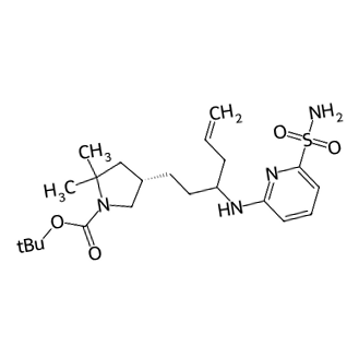 C=CCC(CC[C@@H]1CN(C(=O)OC(C)(C)C)C(C)(C)C1)Nc1cccc(S(N)(=O)=O)n1